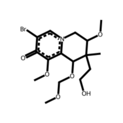 COCOC1c2c(OC)c(=O)c(Br)cn2CC(OC)C1(C)CCO